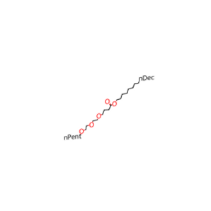 CCCCCCCCCCCCCCCCCCOC(=O)CCCOCCOCCOCCCCC